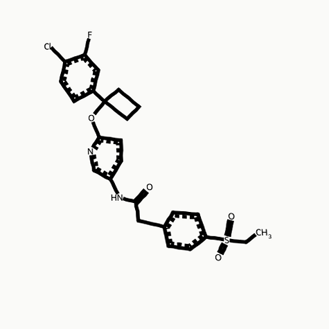 CCS(=O)(=O)c1ccc(CC(=O)Nc2ccc(OC3(c4ccc(Cl)c(F)c4)CCC3)nc2)cc1